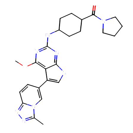 COc1nc(NC2CCC(C(=O)N3CCCC3)CC2)nc2[nH]cc(-c3ccc4nnc(C)n4c3)c12